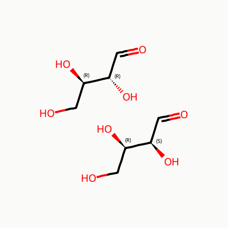 O=C[C@@H](O)[C@H](O)CO.O=C[C@H](O)[C@H](O)CO